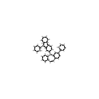 C1=Cc2ccc(-c3ccccn3)cc2N(c2ccc3c4ccccc4n(-c4ccccn4)c3c2)c2ccccc21